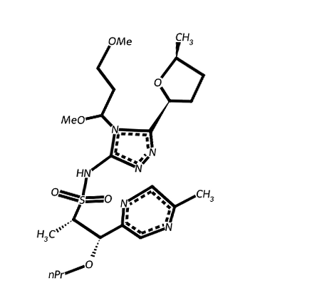 CCCO[C@@H](c1cnc(C)cn1)[C@H](C)S(=O)(=O)Nc1nnc([C@@H]2CC[C@H](C)O2)n1C(CCOC)OC